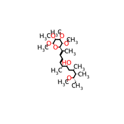 CC[C@H](OC)[C@@H](C)[C@@H](C)C[C@@H](O)[C@H](C)/C=C/C=C(\C)[C@H]1O[C@H](OC)[C@H](OC)[C@@H](OC)[C@@H]1OC